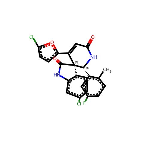 Cc1ccc(F)cc1[C@H]1NC(=O)C=C(c2ccc(Cl)o2)[C@]12C(=O)Nc1cc(Cl)ccc12